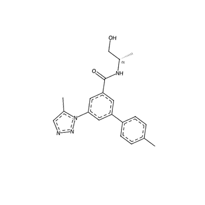 Cc1ccc(-c2cc(C(=O)N[C@@H](C)CO)cc(-n3nncc3C)c2)cc1